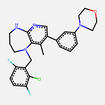 Cc1c(-c2cccc(N3CCOCC3)c2)cnc2c1N(Cc1c(F)ccc(F)c1Cl)CCCN2